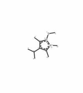 CSn1c(C)c(C(C)C)c(C)[n+]1C